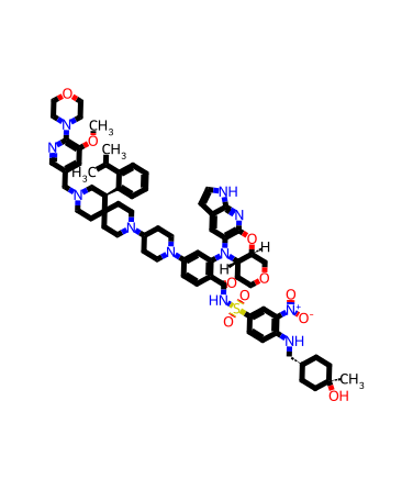 COc1cc(CN2CCC3(CCN(C4CCN(c5ccc(C(=O)NS(=O)(=O)c6ccc(NC[C@H]7CC[C@](C)(O)CC7)c([N+](=O)[O-])c6)c(N6c7cc8cc[nH]c8nc7O[C@H]7COCC[C@@H]76)c5)CC4)CC3)[C@H](c3ccccc3C(C)C)C2)cnc1N1CCOCC1